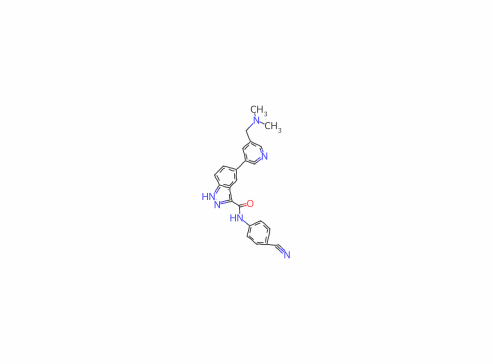 CN(C)Cc1cncc(-c2ccc3[nH]nc(C(=O)Nc4ccc(C#N)cc4)c3c2)c1